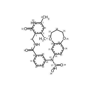 Cc1cc(C)c(CNC(=O)c2cccc(N(c3ccc4c(c3)OCCCO4)[SH](=O)=O)c2)c(=O)[nH]1